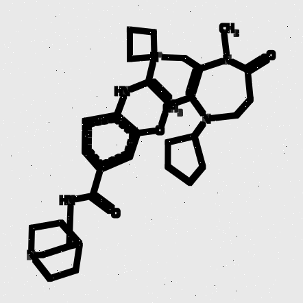 COc1cc(C(=O)NC2CN3CCC2CC3)ccc1NC1=NC2=C(C[N+]13CCC3)N(C)C(=O)CCN2C1CCCC1